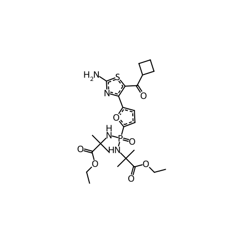 CCOC(=O)C(C)(C)NP(=O)(NC(C)(C)C(=O)OCC)c1ccc(-c2nc(N)sc2C(=O)C2CCC2)o1